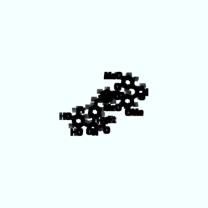 CCNC(=O)c1noc(-c2cc(C(C)C)c(O)cc2O)c1-c1ccc(CN2CCN(C(=O)Oc3cc(-c4cnoc4-c4cc(OC)c(OC)c(OC)c4)ccc3OC)CC2)cc1